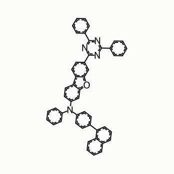 c1ccc(-c2nc(-c3ccccc3)nc(-c3ccc4c(c3)oc3cc(N(c5ccccc5)c5ccc(-c6cccc7ccccc67)cc5)ccc34)n2)cc1